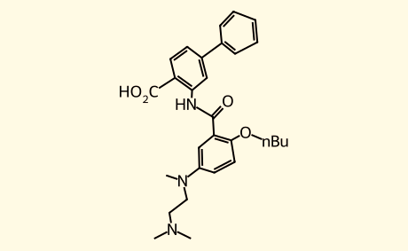 CCCCOc1ccc(N(C)CCN(C)C)cc1C(=O)Nc1cc(-c2ccccc2)ccc1C(=O)O